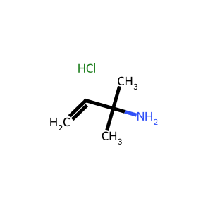 C=CC(C)(C)N.Cl